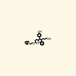 C=C(/C=C\C(CC)OCCN1CC2CC(C2)C1)/C(=C(/CCCO)c1ccccc1)c1ccc(O)cc1